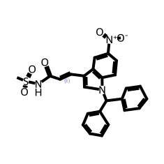 CS(=O)(=O)NC(=O)/C=C/c1cn(C(c2ccccc2)c2ccccc2)c2ccc([N+](=O)[O-])cc12